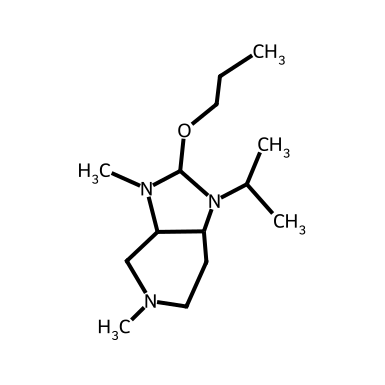 CCCOC1N(C)C2CN(C)CCC2N1C(C)C